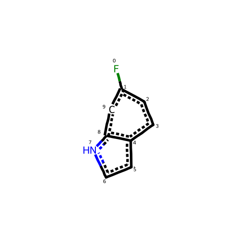 Fc1ccc2[c]c[nH]c2c1